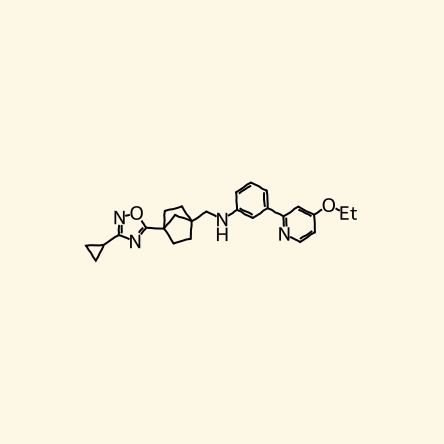 CCOc1ccnc(-c2cccc(NCC34CCC(c5nc(C6CC6)no5)(CC3)C4)c2)c1